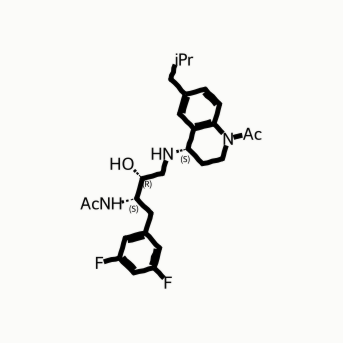 CC(=O)N[C@@H](Cc1cc(F)cc(F)c1)[C@H](O)CN[C@H]1CCN(C(C)=O)c2ccc(CC(C)C)cc21